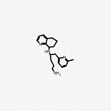 Cc1cccc(CC(CCCN)NC2CCCc3cccnc32)n1